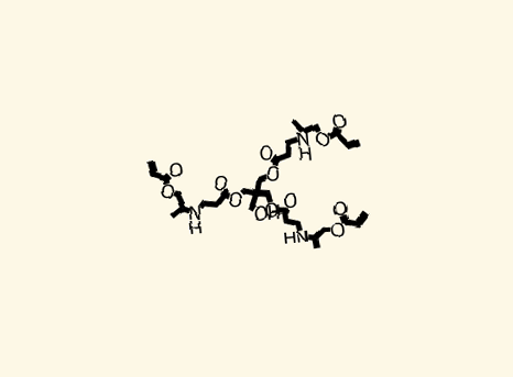 C=CC(=O)OCC(C)NCCC(=O)OCC(CO)(COC(=O)CCNC(C)COC(=O)C=C)COC(=O)CCNC(C)COC(=O)C=C